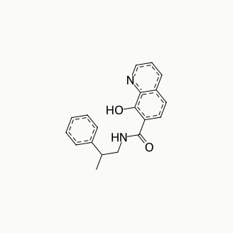 CC(CNC(=O)c1ccc2cccnc2c1O)c1ccccc1